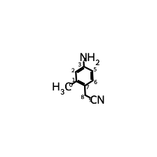 Cc1cc(N)ccc1CC#N